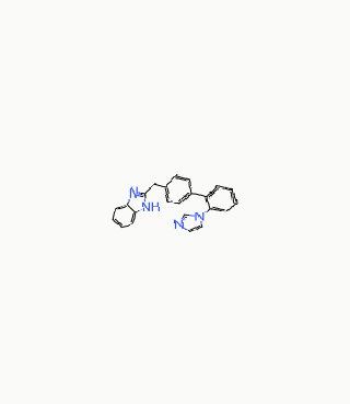 c1ccc(-n2ccnc2)c(-c2ccc(Cc3nc4ccccc4[nH]3)cc2)c1